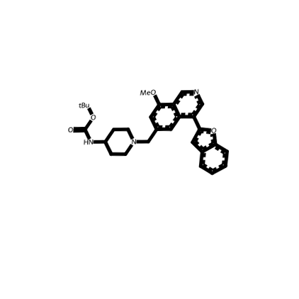 COc1cc(CN2CCC(NC(=O)OC(C)(C)C)CC2)cc2c(-c3cc4ccccc4o3)cncc12